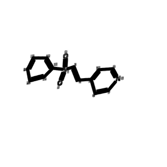 O=S(=O)(C=Cc1ccncc1)c1ccccc1